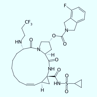 O=C1N[C@]2(C(=O)NS(=O)(=O)C3CC3)C[C@H]2/C=C\CCCCC[C@H](NCCC(F)(F)F)C(=O)N2C[C@H](OC(=O)N3Cc4cccc(F)c4C3)C[C@@H]12